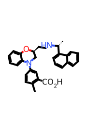 Cc1ccc(N2C[C@H](CCN[C@H](C)c3cccc4ccccc34)Oc3ccccc32)cc1C(=O)O